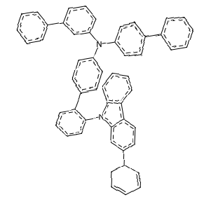 C1=CCC(c2ccc3c4ccccc4n(-c4ccccc4-c4ccc(N(c5ccc(-c6ccccc6)cc5)c5cccc(-c6ccccc6)c5)cc4)c3c2)C=C1